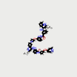 Cc1cc(Nc2cccc(C(=O)Nc3cccc(Oc4ccncc4)c3)c2)c2cc(-[n+]3ccc(Oc4cccc(NC(=O)c5cccc(Nc6c(C)cnc7ccccc67)c5)c4)cc3)ccc2n1